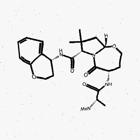 CN[C@@H](C)C(=O)N[C@H]1CCO[C@H]2CC(C)(C)[C@@H](C(=O)N[C@@H]3CCOc4ccccc43)N2C1=O